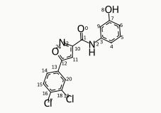 O=C(Nc1cccc(O)c1)c1cc(-c2ccc(Cl)c(Cl)c2)on1